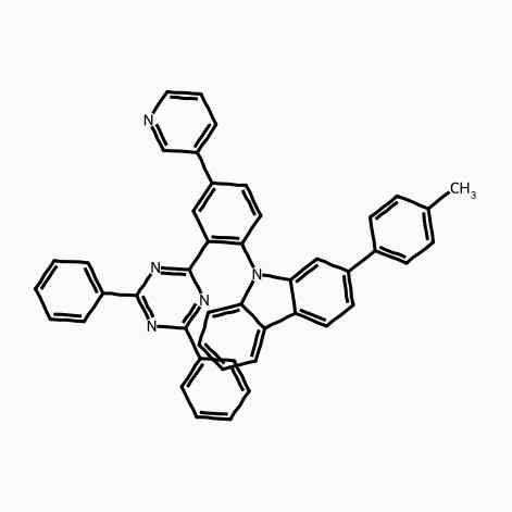 Cc1ccc(-c2ccc3c4ccccc4n(-c4ccc(-c5cccnc5)cc4-c4nc(-c5ccccc5)nc(-c5ccccc5)n4)c3c2)cc1